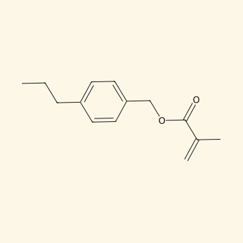 C=C(C)C(=O)OCc1ccc(CCC)cc1